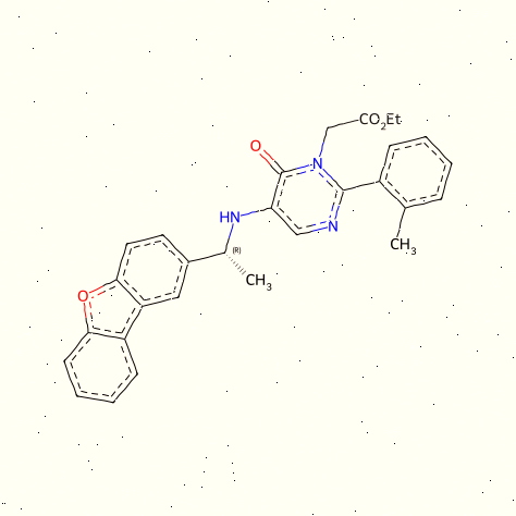 CCOC(=O)Cn1c(-c2ccccc2C)ncc(N[C@H](C)c2ccc3oc4ccccc4c3c2)c1=O